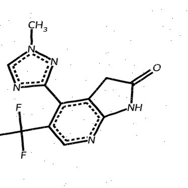 Cn1cnc(-c2c(C(F)(F)F)cnc3c2CC(=O)N3)n1